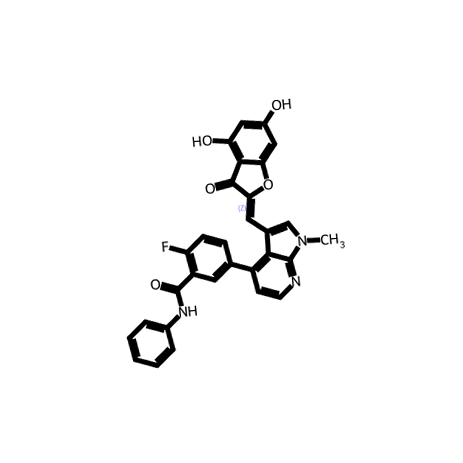 Cn1cc(/C=C2\Oc3cc(O)cc(O)c3C2=O)c2c(-c3ccc(F)c(C(=O)Nc4ccccc4)c3)ccnc21